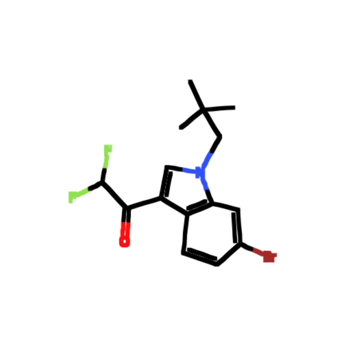 CC(C)(C)Cn1cc(C(=O)C(F)F)c2ccc(Br)cc21